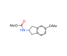 COC(=O)NC1Cc2ccc(OC)cc2C1